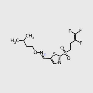 CC(C)CCO/N=C/c1cnc(S(=O)(=O)CCC(F)=C(F)F)s1